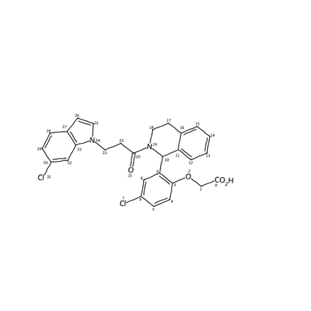 O=C(O)COc1ccc(Cl)cc1C1c2ccccc2CCN1C(=O)CCn1ccc2ccc(Cl)cc21